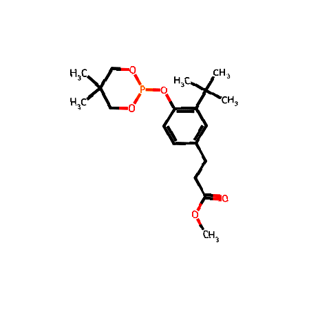 COC(=O)CCc1ccc(OP2OCC(C)(C)CO2)c(C(C)(C)C)c1